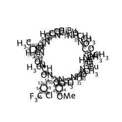 CC[C@H](C)[C@@H]1NC(=O)[C@H](C)N(C)C(=O)C[C@@H](C(=O)N(C)C)N(C)C(=O)[C@H]([C@@H](C)CC)N(C)C(=O)C2(CCCC2)NC(=O)[C@H](Cc2cccc(OC)c2)N(C)C(=O)[C@H](CCc2ccc(C(F)(F)F)c(Cl)c2)NC(=O)CN(C)C(=O)[C@H](Cc2ccc(C)cc2)N(C)C(=O)[C@@H]2CCN2C(=O)[C@H](C)N(C)C1=O